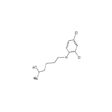 CC(C)(C)C(O)CCCCOc1ccc(Cl)cc1Cl